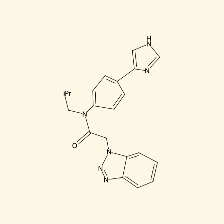 CC(C)CN(C(=O)Cn1nnc2ccccc21)c1ccc(-c2c[nH]cn2)cc1